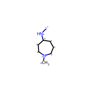 CN1CCCC(NI)CC1